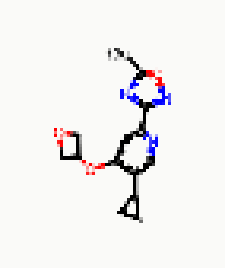 CC(C)(C)c1nc(-c2cc(OC3COC3)c(C3CC3)cn2)no1